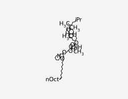 CCCCCCCC/C=C\CCCCCCCCOCC(CN1CCCCC1)OCCOC(=O)[C@H](C)NC(=O)OC1CC[C@@]2(C)C(=CC[C@H]3[C@@H]4CC[C@H]([C@@H](C)CCCC(C)C)[C@@]4(C)CC[C@@H]32)C1